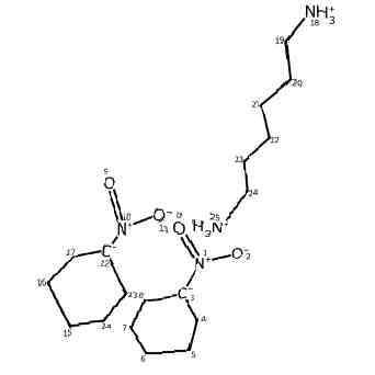 O=[N+]([O-])[C-]1CCCCC1.O=[N+]([O-])[C-]1CCCCC1.[NH3+]CCCCCC[NH3+]